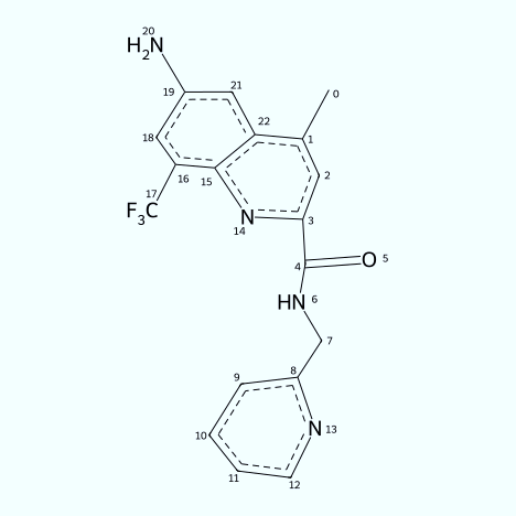 Cc1cc(C(=O)NCc2ccccn2)nc2c(C(F)(F)F)cc(N)cc12